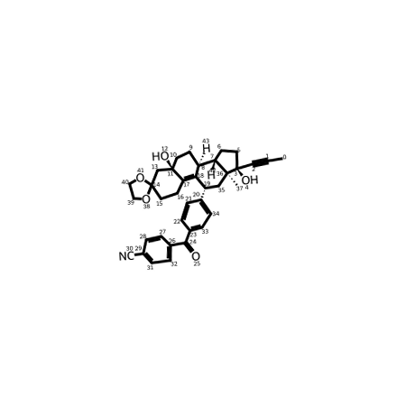 CC#C[C@@]1(O)CC[C@H]2[C@@H]3CC[C@@]4(O)CC5(CCC4=C3[C@@H](c3ccc(C(=O)c4ccc(C#N)cc4)cc3)C[C@@]21C)OCCO5